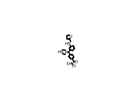 CCN(CC)C(=O)c1ccc([C@H](c2cccc(NCc3ccco3)c2)N2CCNCC2)cc1